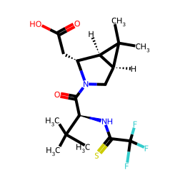 CC(C)(C)[C@H](NC(=S)C(F)(F)F)C(=O)N1C[C@H]2[C@@H]([C@H]1CC(=O)O)C2(C)C